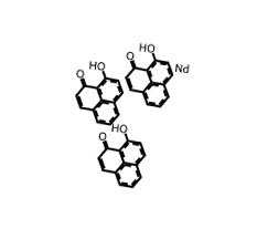 O=C1C=Cc2cccc3ccc(O)c1c23.O=C1C=Cc2cccc3ccc(O)c1c23.O=C1C=Cc2cccc3ccc(O)c1c23.[Nd]